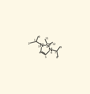 CC(C)N1C=CN(C(C)C)[Si]1(C)C